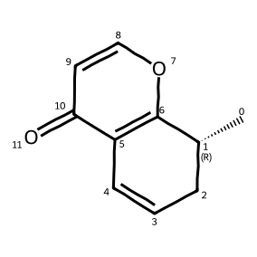 C[C@@H]1CC=Cc2c1occc2=O